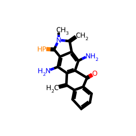 C=C1c2ccccc2C(=O)c2c(N)c3c(c(N)c21)C(=P)N(C)C3=C